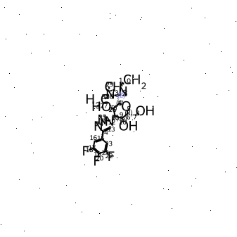 C=C/N=C(/[C@@H]1O[C@H](CO)[C@H](O)[C@H](n2cc(-c3cc(F)c(F)c(F)c3)nn2)[C@H]1O)N(C)C